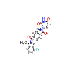 CC1c2cccc(F)c2CN1C(=O)c1ccc2c(c1)CN(C1CCC(=O)NC1=O)C2=O